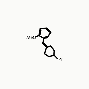 COc1ccccc1C=C1CCC(C(C)C)CC1